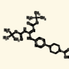 CC(C)(C)OC(=O)N=C(NC(=O)OC(C)(C)C)Nc1ccc(N2CCN(C(=O)O)CC2)cn1